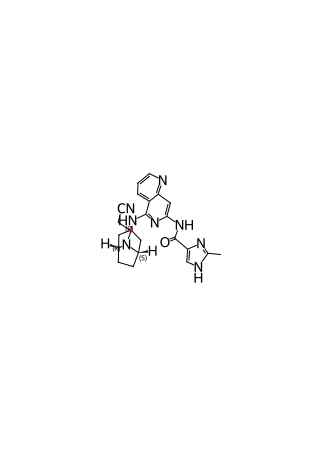 Cc1nc(C(=O)Nc2cc3ncccc3c(N[C@@H]3C[C@H]4CC[C@@H](C3)N4CCC#N)n2)c[nH]1